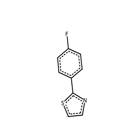 Fc1ccc(-c2nc[c]s2)cc1